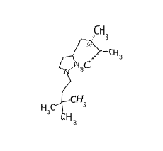 CC(C)[C@@H](C)CC1CCN(CCC(C)(C)C)C1